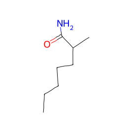 CCCCCC(C)C(N)=O